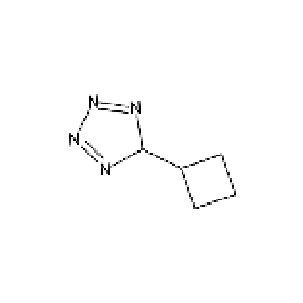 C1CC(C2N=NN=N2)C1